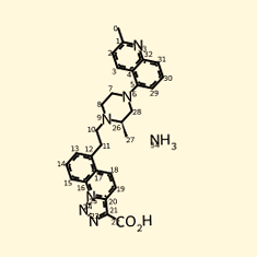 Cc1ccc2c(N3CCN(CCc4cccc5c4ccc4c(C(=O)O)nnn45)[C@H](C)C3)cccc2n1.N